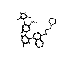 COc1cc2c(cc1-c1c(C)noc1C)[nH]c1nc(C)nc(-c3ccc(NCCN4CCCC4)c4ccccc34)c12